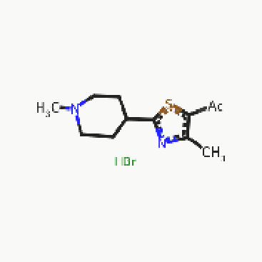 Br.CC(=O)c1sc(C2CCN(C)CC2)nc1C